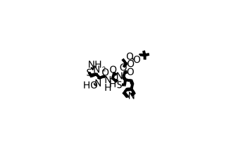 CC(OC(=O)OCC(C)(C)C)OC(=O)C1=C(/C=C\c2cccnc2)CS[C@H]2[C@H](NC(=O)C(=NO)c3csc(N)n3)C(=O)N12